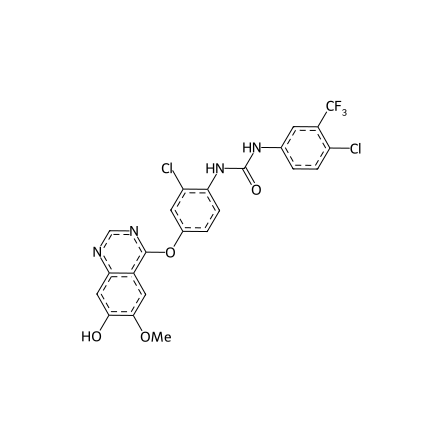 COc1cc2c(Oc3ccc(NC(=O)Nc4ccc(Cl)c(C(F)(F)F)c4)c(Cl)c3)ncnc2cc1O